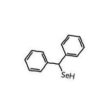 [SeH]C(c1ccccc1)c1ccccc1